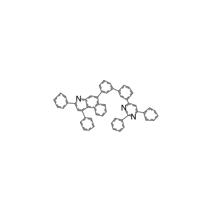 c1ccc(-c2cc(-c3cccc(-c4cccc(-c5cc6nc(-c7ccccc7)cc(-c7ccccc7)c6c6ccccc56)c4)c3)nc(-c3ccccc3)n2)cc1